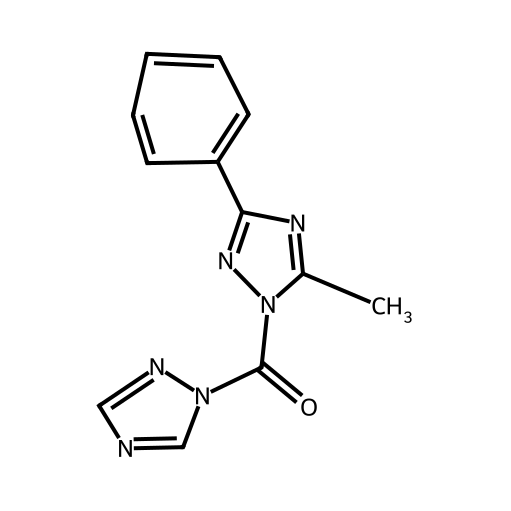 Cc1nc(-c2ccccc2)nn1C(=O)n1cncn1